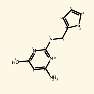 Nc1cc(O)nc(SCc2cccs2)n1